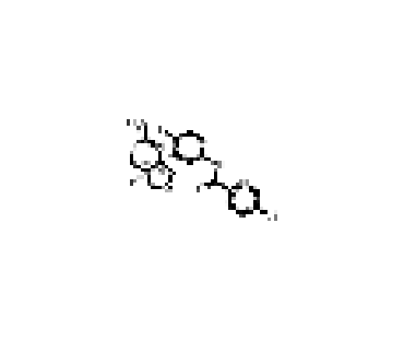 NC1=N[C@@]2(c3cc(NC(=O)c4ccc(Cl)cn4)ccc3F)COC[C@H]2CS1